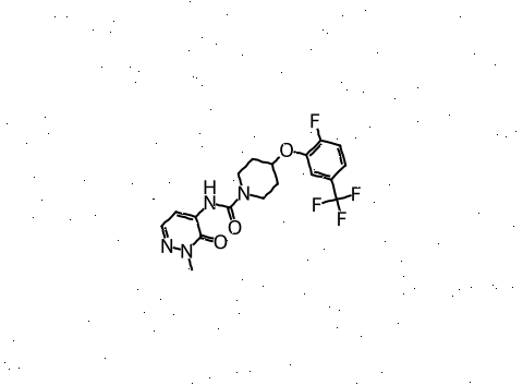 Cn1nccc(NC(=O)N2CCC(Oc3cc(C(F)(F)F)ccc3F)CC2)c1=O